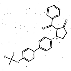 C=C(c1ccccc1)N1C(=O)CC[C@@H]1c1ccc(-c2ccc(OC(F)(F)F)cc2)cc1